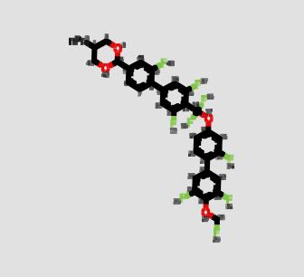 CCCC1COC(c2ccc(-c3cc(F)c(C(F)(F)Oc4ccc(-c5cc(F)c(OCF)c(F)c5)c(F)c4)c(F)c3)c(F)c2)OC1